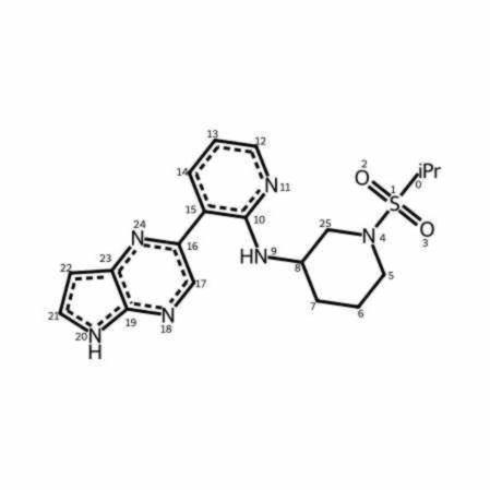 CC(C)S(=O)(=O)N1CCCC(Nc2ncccc2-c2cnc3[nH]ccc3n2)C1